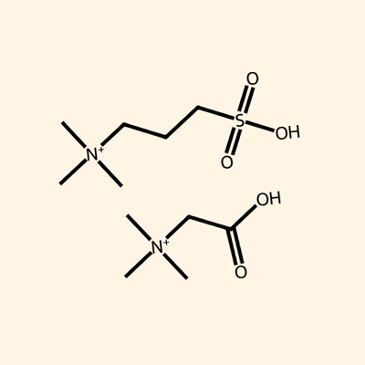 C[N+](C)(C)CC(=O)O.C[N+](C)(C)CCCS(=O)(=O)O